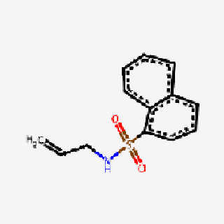 C=CCNS(=O)(=O)c1cccc2ccccc12